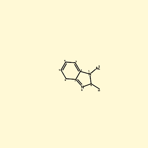 CC(=O)N1C2=CC=CCC2=NC1C